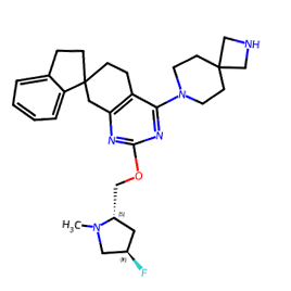 CN1C[C@H](F)C[C@H]1COc1nc2c(c(N3CCC4(CC3)CNC4)n1)CCC1(CCc3ccccc31)C2